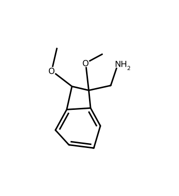 COC1c2ccccc2C1(CN)OC